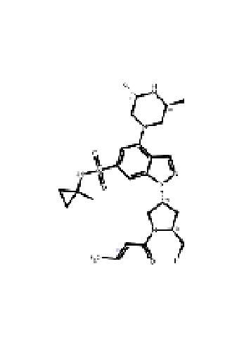 C[C@H]1CN(c2cc(S(=O)(=O)NC3(C)CC3)cc3c2cnn3[C@@H]2C[C@@H](CF)N(C(=O)/C=C/C(F)(F)F)C2)C[C@H](C)N1